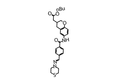 CCCCOC(=O)CC1COc2ccc(NC(=O)c3ccc(C=NN4CCSCC4)cc3)cc2C1